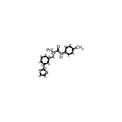 Cc1ccc(NC(=O)N(Cc2cccc(-c3nccs3)c2)C(C)C)cc1